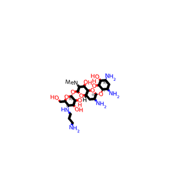 CNC1C(O[C@H]2OC(CO)[C@@H](NCCCN)C(O)C2O)O[C@H]2CC(N)[C@@H](O[C@@H]3C(N)C[C@@H](N)C(O)C3O)OC2C1O